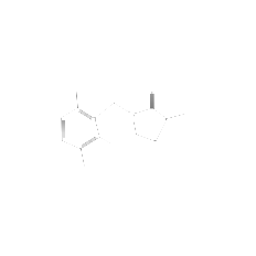 CCC1CCN(Cc2c(F)ccc(F)c2Cl)C1=O